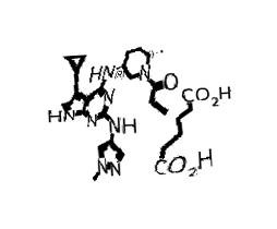 C=CC(=O)N1C[C@H](Nc2nc(Nc3cnn(C)c3)nc3[nH]cc(C4CC4)c23)CC[C@@H]1C.O=C(O)CCCCC(=O)O